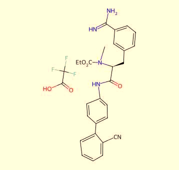 CCOC(=O)N(C)[C@@H](Cc1cccc(C(=N)N)c1)C(=O)Nc1ccc(-c2ccccc2C#N)cc1.O=C(O)C(F)(F)F